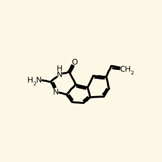 C=Cc1ccc2ccc3nc(N)[nH]c(=O)c3c2c1